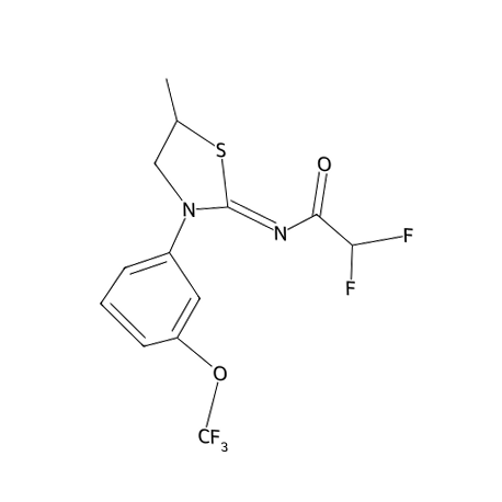 CC1CN(c2cccc(OC(F)(F)F)c2)C(=NC(=O)C(F)F)S1